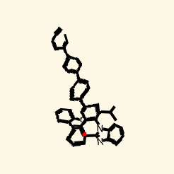 C#C/C=C\C(=C/C)c1ccc(-c2ccc(-c3cc(C(C)C)c(-n4c(-c5cccc6c5oc5ccccc56)nc5ccccc54)c(C(C)C)c3)cc2)cc1